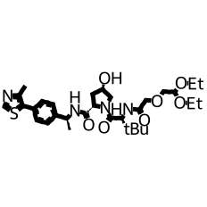 CCOC(COCC(=O)N[C@H](C(=O)N1C[C@H](O)C[C@H]1C(=O)N[C@@H](C)c1ccc(-c2scnc2C)cc1)C(C)(C)C)OCC